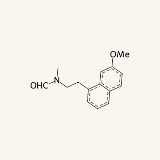 COc1ccc2cccc(CCN(C)C=O)c2c1